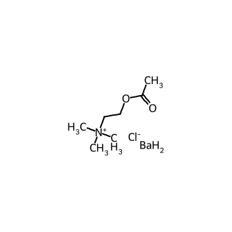 CC(=O)OCC[N+](C)(C)C.[BaH2].[Cl-]